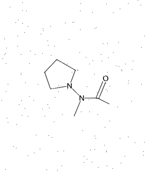 CC(=O)N(C)N1[CH]CCC1